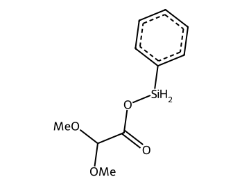 COC(OC)C(=O)O[SiH2]c1ccccc1